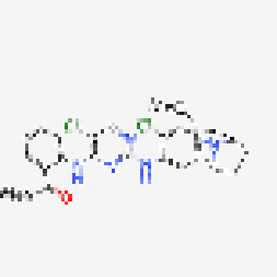 CNC(=O)c1ccccc1Nc1nc(Nc2cc3c(cc2Cl)CC2CCC3N2CCOC)ncc1Cl